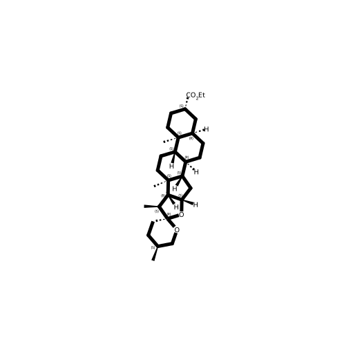 CCOC(=O)[C@H]1CC[C@@]2(C)[C@H](CC[C@@H]3[C@@H]2CC[C@]2(C)[C@@H]4[C@H](C[C@@H]32)O[C@]2(CC[C@H](C)CO2)[C@H]4C)C1